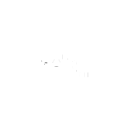 CCOC(=O)CC(c1ccc(C#N)cc1)C(F)(F)F